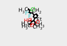 C=C(/C(F)=C(F)\C(Cl)=C/C)c1ccc(CC)c(C2=C(O)C(C)(C)OC(C)(C)C2=O)c1